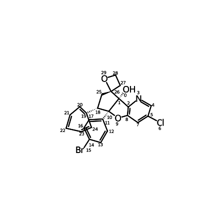 O[C@]12c3ncc(Cl)cc3O[C@@]1(c1ccc(Br)cc1)[C@H](c1ccccc1)C[C@@]21CCO1